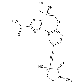 CN1CC[C@@](O)(C#Cc2ccc3c(c2)-c2nc(C(N)=O)sc2[C@](O)(CC#N)CO3)C1=O